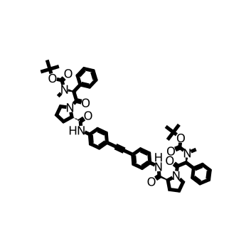 CN(C(=O)OC(C)(C)C)[C@H](C(=O)N1CCC[C@H]1C(=O)Nc1ccc(C#Cc2ccc(NC(=O)[C@@H]3CCCN3C(=O)[C@H](c3ccccc3)N(C)C(=O)OC(C)(C)C)cc2)cc1)c1ccccc1